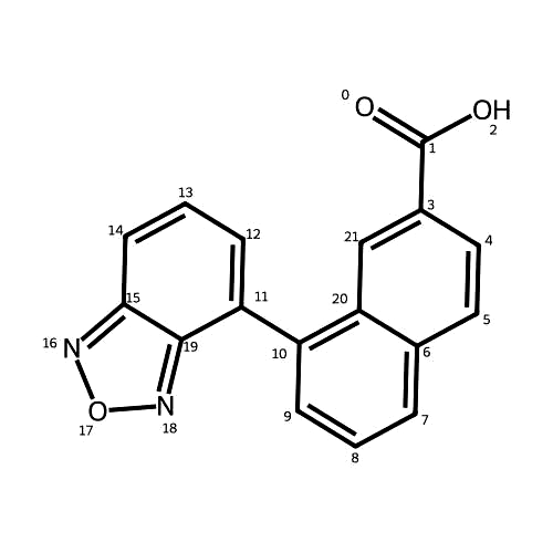 O=C(O)c1ccc2cccc(-c3cccc4nonc34)c2c1